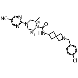 C[C@@H]1CN(c2ncc(C#N)cn2)C[C@@H](C)N1C(=O)NC1CC2(C1)CN(Cc1ccc(Cl)cc1)C2